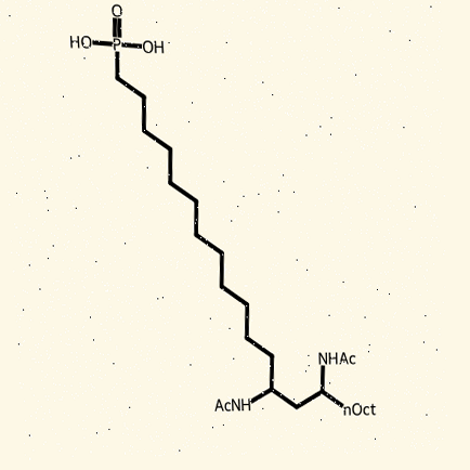 CCCCCCCCC(CC(CCCCCCCCCCCCP(=O)(O)O)NC(C)=O)NC(C)=O